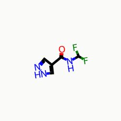 O=C(NC(F)F)c1cn[nH]c1